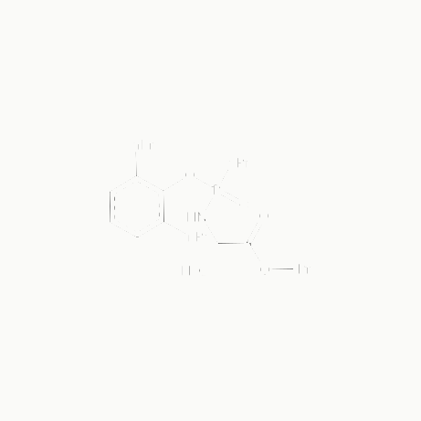 CCCc1cccc(CCC)c1OP(=O)(CCC)N[C@@H](C)C(=O)OC(C)C